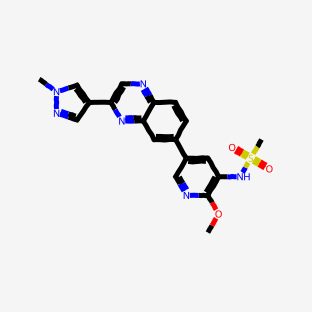 COc1ncc(-c2ccc3ncc(-c4cnn(C)c4)nc3c2)cc1NS(C)(=O)=O